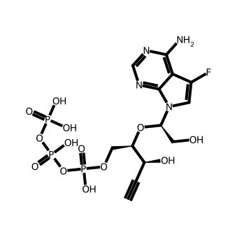 C#C[C@H](O)[C@@H](COP(=O)(O)OP(=O)(O)OP(=O)(O)O)O[C@H](CO)n1cc(F)c2c(N)ncnc21